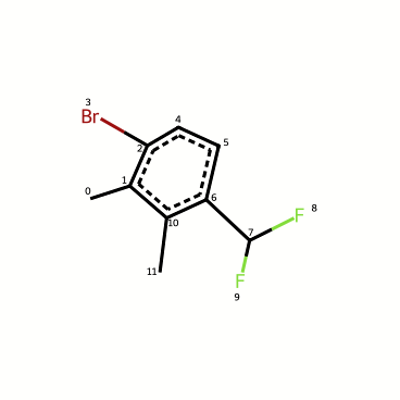 Cc1c(Br)ccc(C(F)F)c1C